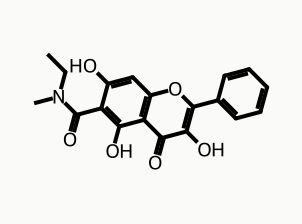 CCN(C)C(=O)c1c(O)cc2oc(-c3ccccc3)c(O)c(=O)c2c1O